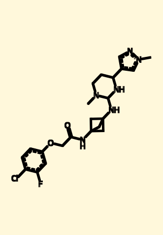 CN1CCC(c2cnn(C)c2)NC1NC12CC(NC(=O)COc3ccc(Cl)c(F)c3)(C1)C2